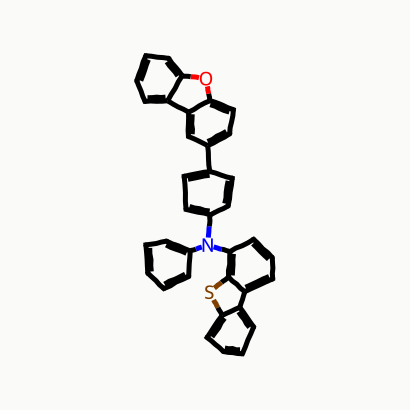 c1ccc(N(c2ccc(-c3ccc4oc5ccccc5c4c3)cc2)c2cccc3c2sc2ccccc23)cc1